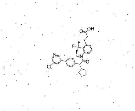 O=C(O)CCc1cccc(NC(=O)C(c2ccc(-c3cncc(Cl)c3)cc2)C2CCCC2)c1C(F)(F)F